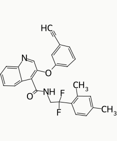 C#Cc1cccc(Oc2cnc3ccccc3c2C(=O)NCC(F)(F)c2ccc(C)cc2C)c1